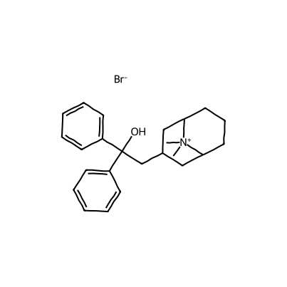 C[N+]1(C)C2CCCC1CC(CC(O)(c1ccccc1)c1ccccc1)C2.[Br-]